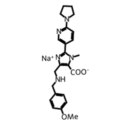 COc1ccc(CNCc2nc(-c3ccc(N4CCCC4)nc3)n(C)c2C(=O)[O-])cc1.[Na+]